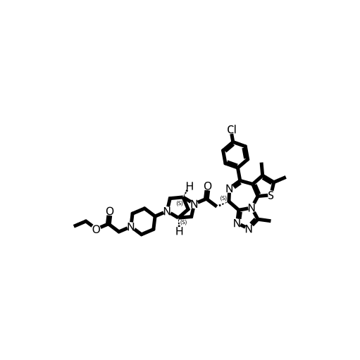 CCOC(=O)CN1CCC(N2C[C@@H]3C[C@H]2CN3C(=O)C[C@@H]2N=C(c3ccc(Cl)cc3)c3c(sc(C)c3C)-n3c(C)nnc32)CC1